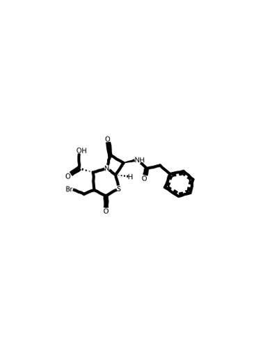 O=C(Cc1ccccc1)N[C@@H]1C(=O)N2[C@@H]1SC(=O)C(CBr)[C@@H]2C(=O)O